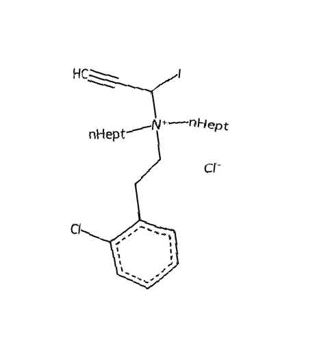 C#CC(I)[N+](CCCCCCC)(CCCCCCC)CCc1ccccc1Cl.[Cl-]